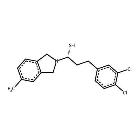 FC(F)(F)c1ccc2c(c1)CN([C@H](S)CCc1ccc(Cl)c(Cl)c1)C2